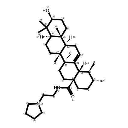 C[C@H]1[C@H](C)CC[C@]2(C(=O)NCCN3CCCC3)CC[C@]3(C)C(=CC[C@@H]4[C@@]5(C)CC[C@H](O)C(C)(C)[C@@H]5CC[C@]43C)[C@H]12